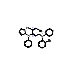 C#C/C=C(Br)\C(=C/CN(c1ccccc1)c1ccccc1Br)N(c1ccccc1)C1C=CC=C1